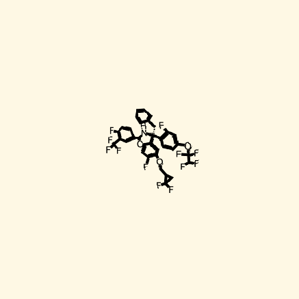 O=C(N[C@](Cc1ccccc1)(c1ccc(F)c(OCC2CC2(F)F)c1)c1ccc(OC(F)(F)C(F)F)cc1F)c1ccc(F)c(C(F)(F)F)c1